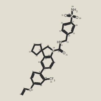 C=COc1ccc(-c2ccc3c(c2)C2(CCCC2)CN3C(=O)NCc2ccc(S(N)(=O)=O)cc2)c(C(F)(F)F)c1